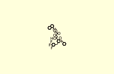 O=C(C=C(O)c1cc(Cc2cc(F)c(F)c(F)c2)cn(Cc2ccccc2)c1=O)C(=O)N1CCN(c2cccc3ccccc23)CC1